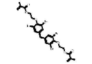 C=C(C)C(=O)OCCOc1c(Br)cc(Cc2cc(Br)c(OCCOC(=O)C(=C)C)c(Br)c2)cc1Br